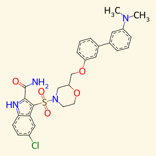 CN(C)c1cccc(-c2cccc(OCC3CN(S(=O)(=O)c4c(C(N)=O)[nH]c5ccc(Cl)cc45)CCO3)c2)c1